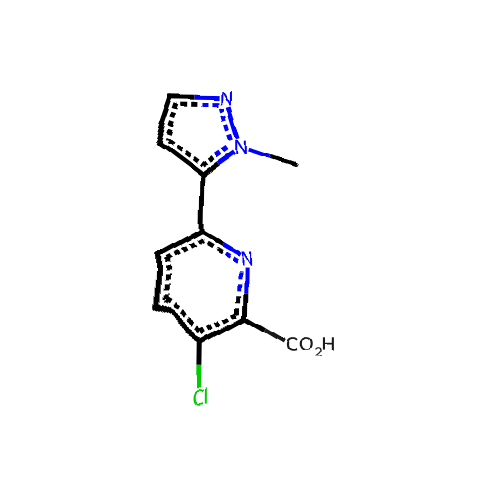 Cn1nccc1-c1ccc(Cl)c(C(=O)O)n1